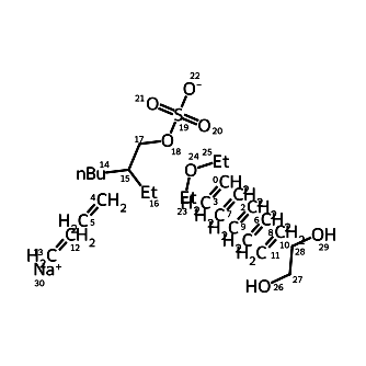 C=C.C=C.C=C.C=C.C=C.C=C.C=C.CCCCC(CC)COS(=O)(=O)[O-].CCOCC.OCCO.[Na+]